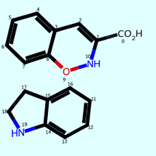 O=C(O)C1=Cc2ccccc2ON1.c1ccc2c(c1)CCN2